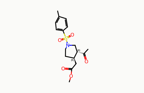 COC(=O)C[C@H]1CCN(S(=O)(=O)c2ccc(C)cc2)C[C@@H]1C(C)=O